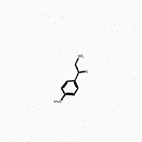 COc1ccc(C(C[N+](=O)[O-])C(C)=O)cc1